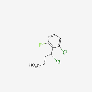 O=C(O)CCC(Cl)c1c(F)cccc1Cl